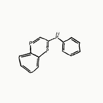 c1ccc(Pc2cpc3ccccc3p2)cc1